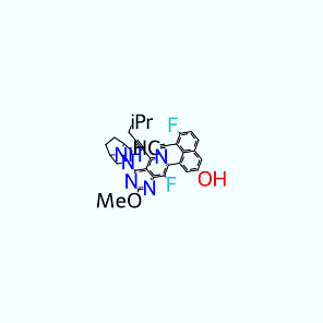 C#Cc1c(F)ccc2cc(O)cc(-c3nc(C#CCC(C)C)c4c(N5CC6CCC(C5)N6)nc(OC)nc4c3F)c12